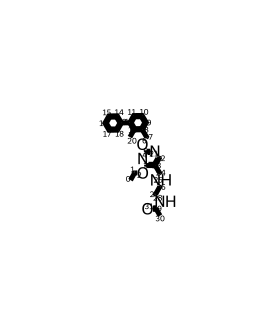 CCOc1nc(OCc2cccc(-c3ccccc3)c2C)ncc1CNCCNC(C)=O